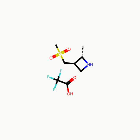 C[C@@H]1NC[C@H]1CS(C)(=O)=O.O=C(O)C(F)(F)F